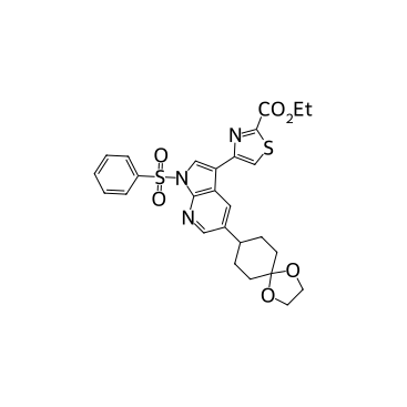 CCOC(=O)c1nc(-c2cn(S(=O)(=O)c3ccccc3)c3ncc(C4CCC5(CC4)OCCO5)cc23)cs1